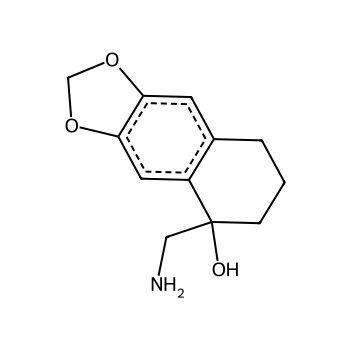 NCC1(O)CCCc2cc3c(cc21)OCO3